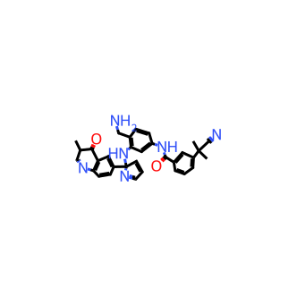 CC1C=Nc2ccc(C3(Nc4cc(NC(=O)c5cccc(C(C)(C)C#N)c5)ccc4CN)C=CC=N3)cc2C1=O